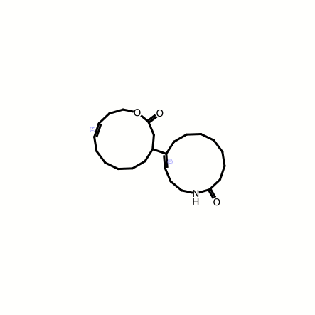 O=C1CCCCCCC/C(C2CCCCC/C=C\CCOC(=O)C2)=C\CCN1